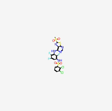 CS(=O)(=O)c1nc2c(Nc3c(F)c(F)cc(NS(=O)(=O)c4cccc(Cl)c4Cl)c3F)ncnc2s1